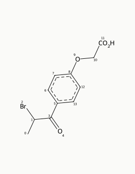 CC(Br)C(=O)c1ccc(OCC(=O)O)cc1